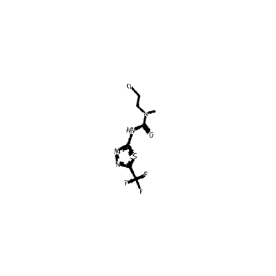 CN(CCCl)C(=O)Nc1nnc(C(F)(F)F)s1